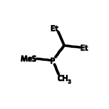 CCC(CC)P(C)SC